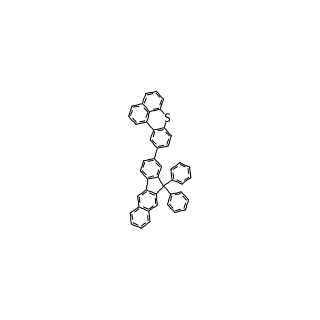 c1ccc(C2(c3ccccc3)c3cc(-c4ccc5c(c4)-c4cccc6cccc(c46)S5)ccc3-c3cc4ccccc4cc32)cc1